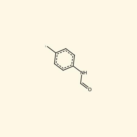 [CH]c1ccc(NC=O)cc1